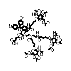 COc1ccc(C(OCC(OC(=O)CCC(=O)O)C(=O)N(CCNC(=O)CCCCO[C@@H]2OC(COC(C)=O)[C@H](OC(C)=O)[C@H](C)C2NC(C)=O)CCN(CCNC(=O)CCCCO[C@@H]2OC(COC(C)=O)[C@H](OC(C)=O)[C@H](C)C2NC(C)=O)C(=O)CCCCO[C@@H]2OC(COC(C)=O)[C@H](OC(C)=O)[C@H](C)C2NC(C)=O)(c2ccccc2)c2ccc(OC)cc2)cc1